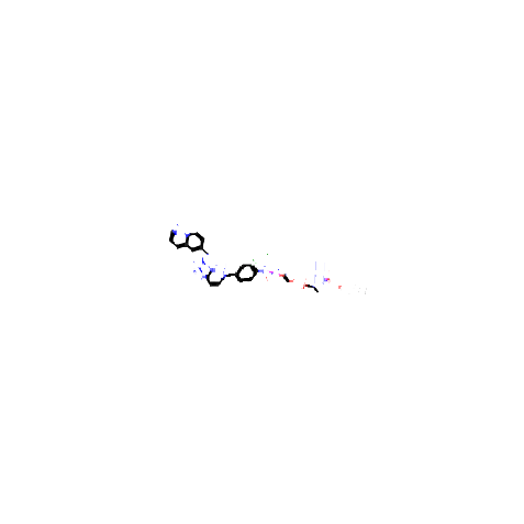 CC(NC(=O)OC(C)(C)C)C(=O)OCCONc1ccc(-c2ccc3nnn(Cc4ccc5ncccc5c4)c3n2)cc1Cl